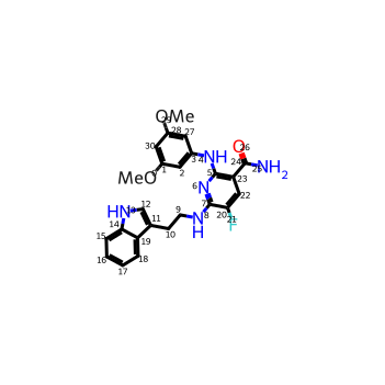 COc1cc(Nc2nc(NCCc3c[nH]c4ccccc34)c(F)cc2C(N)=O)cc(OC)c1